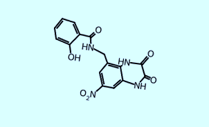 O=C(NCc1cc([N+](=O)[O-])cc2[nH]c(=O)c(=O)[nH]c12)c1ccccc1O